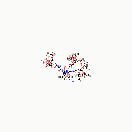 CC(C)(N)COC(C)(C)CC(CNC(=O)CCNC(=O)COCC(COC(=O)C(C)(C)Br)(COC(=O)C(C)(C)Br)COC(=O)C(C)(C)Br)(CNC(=O)CCNC(=O)COCC(COC(=O)C(C)(C)Br)(COC(=O)C(C)(C)Br)COC(=O)C(C)(C)Br)CNC(=O)CCNC(=O)COCC(COC(=O)C(C)(C)Br)(COC(=O)C(C)(C)Br)COC(=O)C(C)(C)Br